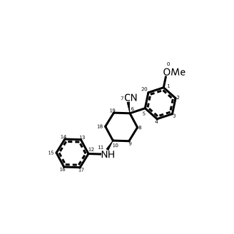 COc1cccc([C@]2(C#N)CC[C@@H](Nc3ccccc3)CC2)c1